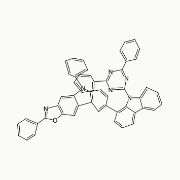 c1ccc(-c2nc(-c3ccccc3)nc(-n3c4ccccc4c4cccc(-c5ccc6c(c5)c5cc7oc(-c8ccccc8)nc7cc5n6-c5ccccc5)c43)n2)cc1